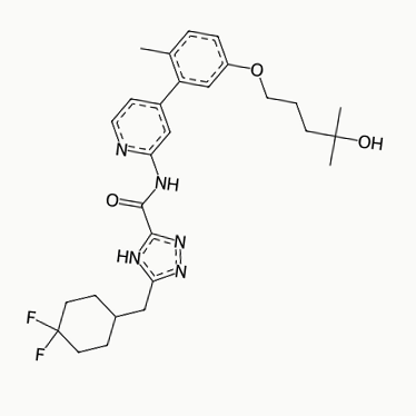 Cc1ccc(OCCCC(C)(C)O)cc1-c1ccnc(NC(=O)c2nnc(CC3CCC(F)(F)CC3)[nH]2)c1